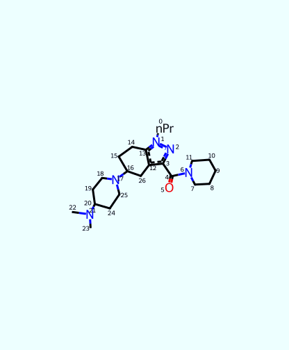 CCCn1nc(C(=O)N2CCCCC2)c2c1CCC(N1CCC(N(C)C)CC1)C2